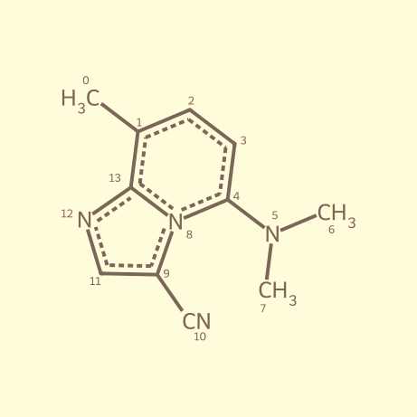 Cc1ccc(N(C)C)n2c(C#N)cnc12